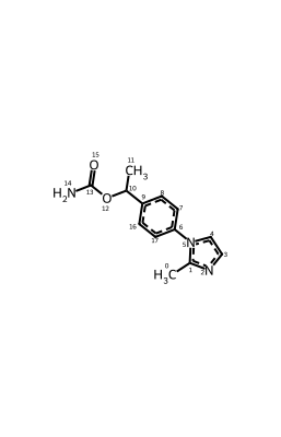 Cc1nccn1-c1ccc(C(C)OC(N)=O)cc1